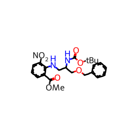 COC(=O)c1cccc([N+](=O)[O-])c1NCC(COCc1ccccc1)NC(=O)OC(C)(C)C